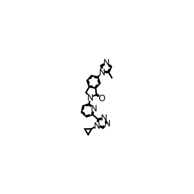 Cc1cncn1-c1ccc2c(c1)C(=O)N(c1cccc(-c3nncn3C3CC3)n1)C2